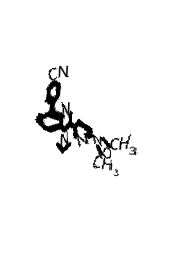 CC1CN(c2ccc(-c3cnc4c(-c5ccc(C#N)cc5)cccc4c3N3CCC3)cn2)CC(C)O1